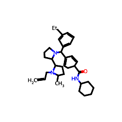 C=CCN1C(C)CCC1C1CCCN1C(C1=CCC(C(=O)NC2CCCCC2)C=C1)c1cccc(CC)c1